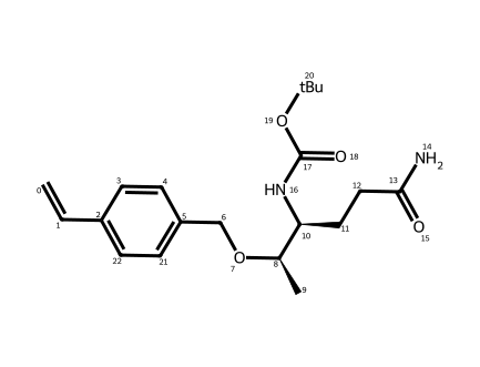 C=Cc1ccc(CO[C@H](C)[C@H](CCC(N)=O)NC(=O)OC(C)(C)C)cc1